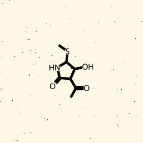 CSC1NC(=O)C(C(C)=O)C1O